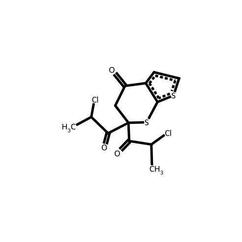 CC(Cl)C(=O)C1(C(=O)C(C)Cl)CC(=O)c2ccsc2S1